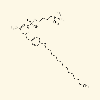 CCCCCCCCCCCCCCOc1ccc(CC(COP(=O)(O)OCCCC[N+](C)(C)C)CC(C)=O)cc1